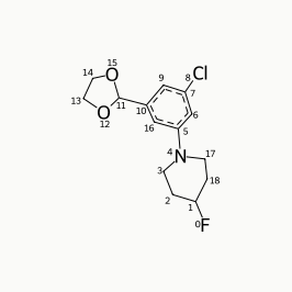 FC1CCN(c2cc(Cl)cc(C3OCCO3)c2)CC1